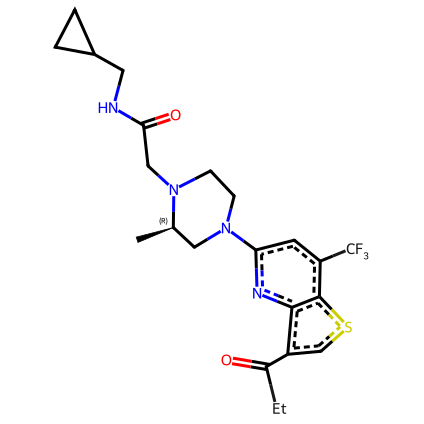 CCC(=O)c1csc2c(C(F)(F)F)cc(N3CCN(CC(=O)NCC4CC4)[C@H](C)C3)nc12